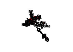 COC(=O)N[C@H](C(=O)N[C@@H](Cc1ccc(C#Cc2cnc(N3CC4CCC(C3)N4C3COC3)nc2)cc1)[C@H](CN(Cc1c(F)cc(-c2ccn(C(F)F)n2)cc1F)NC(=O)[C@@H](NC(=O)OC)C(C)(C)C(F)(F)F)OC(=O)CC(C)(C)c1c(CC(=O)N2CCN(S(=O)(=O)N(C)C)CC2)cc(C)cc1OP(=O)(O)O)C(C)(C)C(F)(F)F